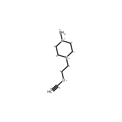 BN1CCN(CCOC#C)CC1